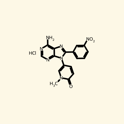 Cl.Cn1cc(-n2c(-c3cccc([N+](=O)[O-])c3)nc3c(N)ncnc32)ccc1=O